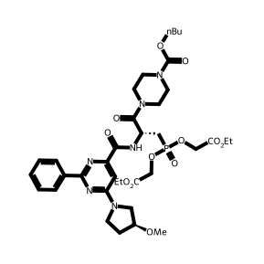 CCCCOC(=O)N1CCN(C(=O)[C@H](CP(=O)(OCC(=O)OCC)OCC(=O)OCC)NC(=O)c2cc(N3CC[C@H](OC)C3)nc(-c3ccccc3)n2)CC1